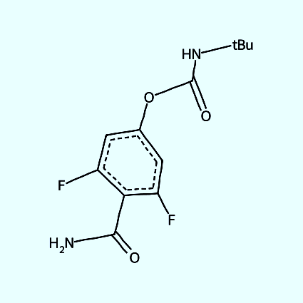 CC(C)(C)NC(=O)Oc1cc(F)c(C(N)=O)c(F)c1